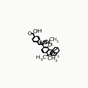 CC(=Cc1ccc(C(=O)O)cc1)c1ccc(C(C)(C)C)c(C23CC4CC(CC(C4)C2)C3)c1O[SiH](C)C